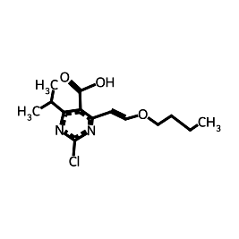 CCCCOC=Cc1nc(Cl)nc(C(C)C)c1C(=O)O